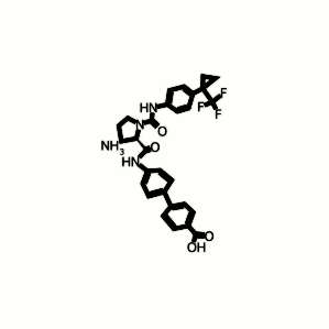 N.O=C(O)c1ccc(-c2ccc(NC(=O)[C@H]3CCCN3C(=O)Nc3ccc(C4(C(F)(F)F)CC4)cc3)cc2)cc1